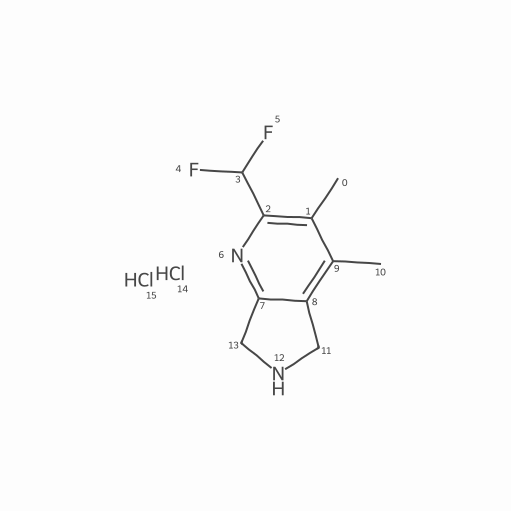 Cc1c(C(F)F)nc2c(c1C)CNC2.Cl.Cl